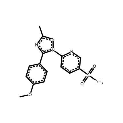 COc1ccc(-c2nc(C)nn2-c2ccc(S(N)(=O)=O)cn2)cc1